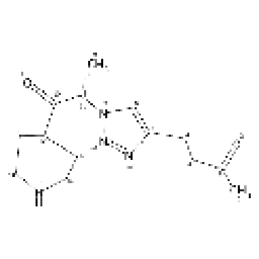 CC(=O)CCc1cn([C@@H](C)C(=O)C2CCNCC2)nn1